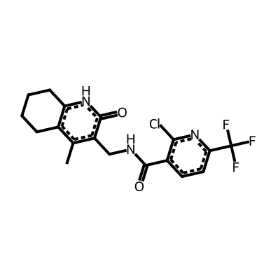 Cc1c2c([nH]c(=O)c1CNC(=O)c1ccc(C(F)(F)F)nc1Cl)CCCC2